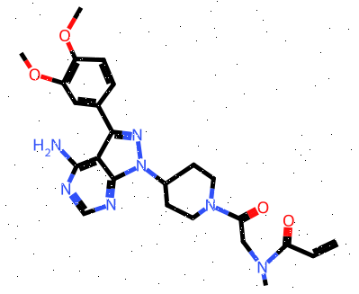 C=CC(=O)N(C)CC(=O)N1CCC(n2nc(-c3ccc(OC)c(OC)c3)c3c(N)ncnc32)CC1